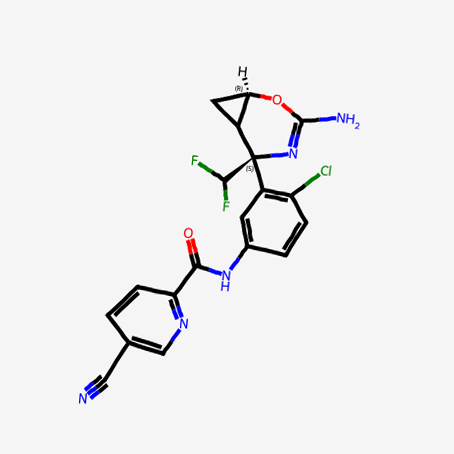 N#Cc1ccc(C(=O)Nc2ccc(Cl)c([C@@]3(C(F)F)N=C(N)O[C@@H]4CC43)c2)nc1